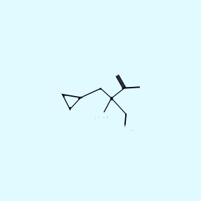 CC(=O)C(O)(CO)CC1CC1